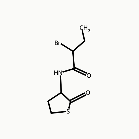 CCC(Br)C(=O)NC1CCSC1=O